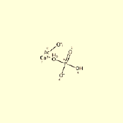 CC(=O)[O-].O=P([O-])(O)O.[Ca+2]